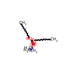 CCCC/C=C/CCCCCCCC(=O)OC[C@H](COP(=O)([O-])OCC[N+](C)(C)C)OC(=O)CCCCCCC/C=C/CCCC